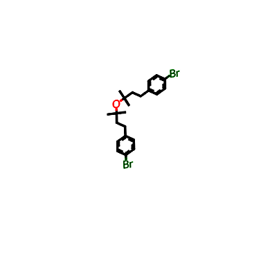 CC(C)(CCc1ccc(Br)cc1)OC(C)(C)CCc1ccc(Br)cc1